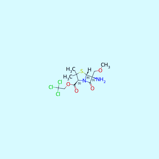 COC[C@]1(N)C(=O)N2[C@@H](C(=O)OCC(Cl)(Cl)Cl)C(C)(C)S[C@@H]21